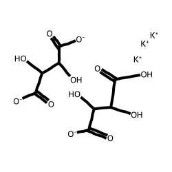 O=C([O-])C(O)C(O)C(=O)O.O=C([O-])C(O)C(O)C(=O)[O-].[K+].[K+].[K+]